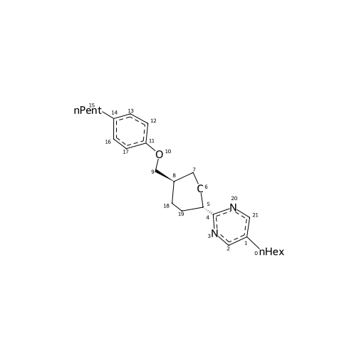 CCCCCCc1cnc([C@H]2CC[C@H](COc3ccc(CCCCC)cc3)CC2)nc1